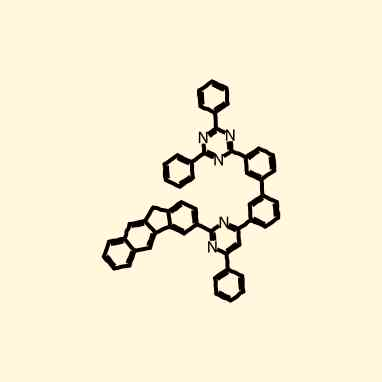 c1ccc(-c2cc(-c3cccc(-c4cccc(-c5nc(-c6ccccc6)nc(-c6ccccc6)n5)c4)c3)nc(-c3ccc4c(c3)-c3cc5ccccc5cc3C4)n2)cc1